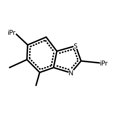 Cc1c(C(C)C)cc2sc(C(C)C)nc2c1C